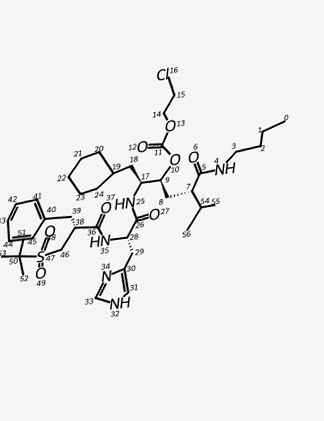 CCCCNC(=O)[C@@H](C[C@H](OC(=O)OCCCl)[C@H](CC1CCCCC1)NC(=O)[C@H](Cc1c[nH]cn1)NC(=O)[C@@H](Cc1ccccc1)CS(=O)(=O)C(C)(C)C)C(C)C